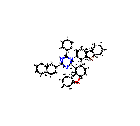 c1ccc(-c2nc(-c3ccc4ccccc4c3)nc(-c3c(-c4cccc5c4sc4ccccc45)ccc4oc5ccccc5c34)n2)cc1